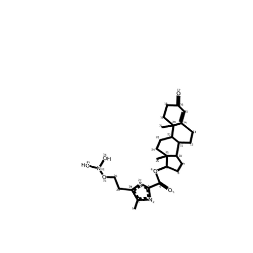 Cc1nc(C(=O)OC2CCC3C4CCC5=CC(=O)CCC5(C)C4CCC23C)sc1CCON(O)O